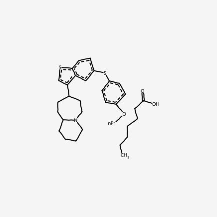 CCCCCCC(=O)O.CCCOc1ccc(Sc2ccc3scc(C4CCC5CCCCN5CC4)c3c2)cc1